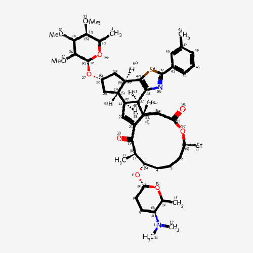 CC[C@H]1CCC[C@H](O[C@H]2CC[C@H](N(C)C)C(C)O2)[C@@H](C)C(=O)C2=C[C@H]3[C@@H]4C[C@H](O[C@@H]5OC(C)[C@H](OC)C(OC)C5OC)C[C@H]4c4sc(-c5cccc(C)c5)nc4[C@H]3[C@@H]2CC(=O)O1